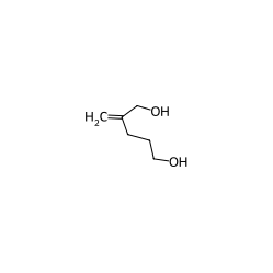 C=C(CO)CCCO